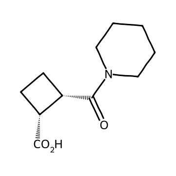 O=C(O)[C@@H]1CC[C@@H]1C(=O)N1CCCCC1